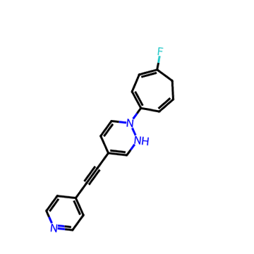 FC1=CC=C(N2C=CC(C#Cc3ccncc3)=CN2)C=CC1